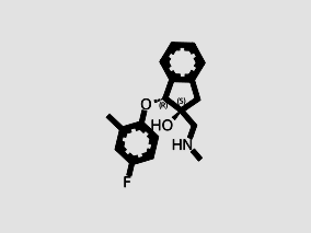 CNC[C@@]1(O)Cc2ccccc2[C@H]1Oc1ccc(F)cc1C